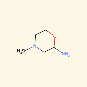 NC1CN([SiH3])CCO1